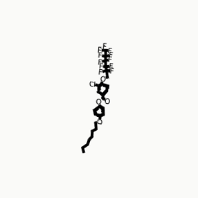 CCCCCCCCOc1ccc(OC(=O)c2ccc(OCC(F)(F)C(F)(F)C(F)(F)C(F)(F)C(F)(F)F)c(Cl)c2)cc1